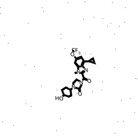 Cn1c(C(=O)N2CCN(C3CCC(O)CC3)C(=O)C2)nc2c(C3CC3)cc(OC(F)(F)F)cc21